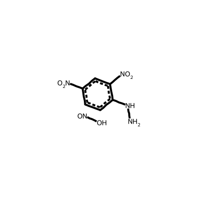 NNc1ccc([N+](=O)[O-])cc1[N+](=O)[O-].O=NO